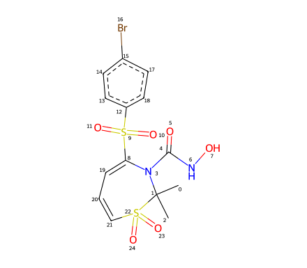 CC1(C)N(C(=O)NO)C(S(=O)(=O)c2ccc(Br)cc2)=CC=CS1(=O)=O